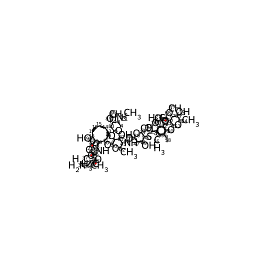 CCN[C@H]1CO[C@@H](O[C@H]2[C@H](O[C@H]3C#CC=CC#C[C@]4(O)CC(=O)C(NC(=O)OC)=C3/C4=C\CSSC(C)(C)CN)O[C@H](C)[C@@H](NO[C@H]3C[C@H](O)[C@H](SC(=O)c4c(C)c(I)c(O[C@@H]5O[C@@H](C)[C@H](O)[C@@H](OC)[C@H]5O)c(OC)c4OC)[C@@H](C)O3)[C@@H]2O)C[C@@H]1OC